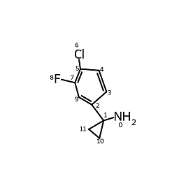 NC1(c2ccc(Cl)c(F)c2)CC1